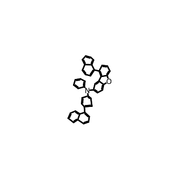 c1ccc(N(c2ccc(-c3cccc4ccccc34)cc2)c2ccc3oc4cccc(-c5cccc6ccccc56)c4c3c2)cc1